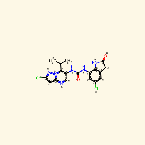 CC(C)c1c(NC(=O)Nc2cc(Cl)cc3c2NC(=O)C3)cnc2cc(Cl)nn12